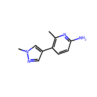 Cc1nc(N)ccc1-c1cnn(C)c1